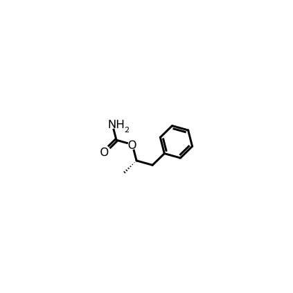 C[C@@H](Cc1ccccc1)OC(N)=O